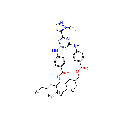 CCCCC(CC)COC(=O)c1ccc(Nc2nc(Nc3ccc(C(=O)OCC(CC)CCCC)cc3)nc(-c3ccnn3C)n2)cc1